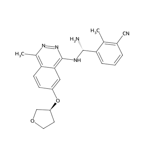 Cc1c(C#N)cccc1[C@@H](N)Nc1nnc(C)c2ccc(O[C@H]3CCOC3)cc12